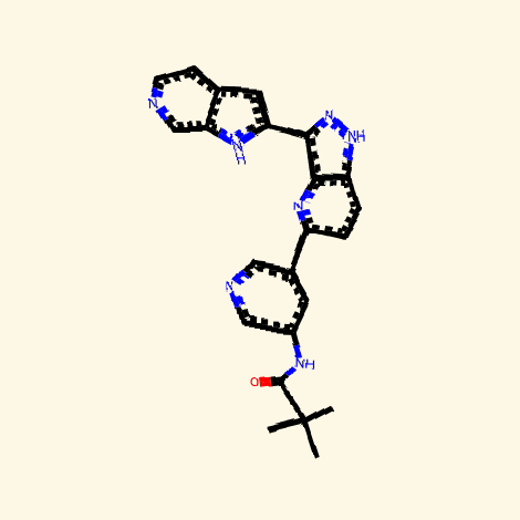 CC(C)(C)C(=O)Nc1cncc(-c2ccc3[nH]nc(-c4cc5ccncc5[nH]4)c3n2)c1